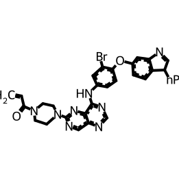 C=CC(=O)N1CCN(c2ncc3ncnc(Nc4ccc(Oc5ccc6c(c5)N=CC6CCC)c(Br)c4)c3n2)CC1